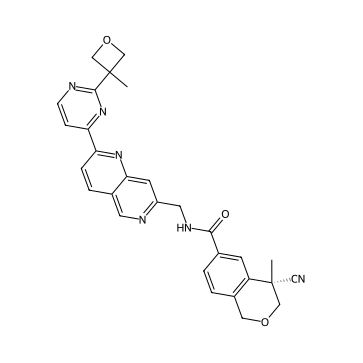 CC1(c2nccc(-c3ccc4cnc(CNC(=O)c5ccc6c(c5)[C@](C)(C#N)COC6)cc4n3)n2)COC1